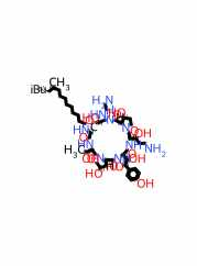 CC[C@H](C)C[C@H](C)CCCCCCCCC(=O)N[C@H]1C[C@@H](O)C(NCCN)NC(=O)[C@@H]2[C@@H](O)CCN2C(=O)[C@H]([C@H](O)CCN)NC(=O)[C@H]([C@H](O)[C@@H](O)c2ccc(O)cc2)NC(=O)[C@@H]2C[C@@H](O)CN2C(=O)[C@H]([C@@H](C)O)NC1=O